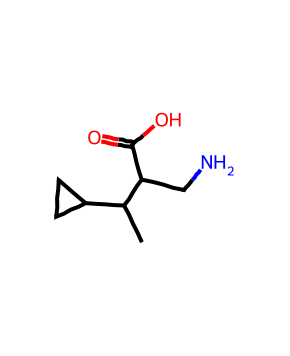 CC(C1CC1)C(CN)C(=O)O